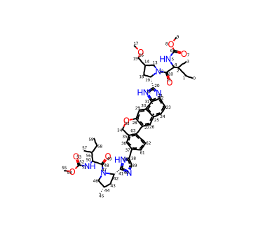 CCC(C)C(NC(=O)OC)C(=O)N1CC(COC)C[C@H]1c1nc2ccc3cc4c(cc3c2[nH]1)OCc1cc(-c2cnc([C@@H]3C[C@H](C)CN3C(=O)[C@@H](NC(=O)OC)C(C)CC)[nH]2)ccc1-4